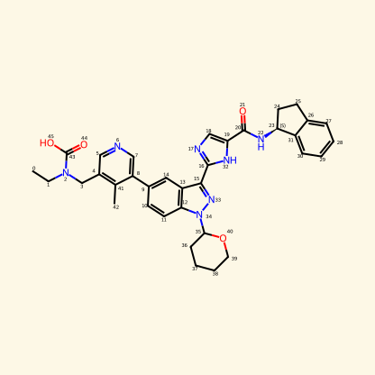 CCN(Cc1cncc(-c2ccc3c(c2)c(-c2ncc(C(=O)N[C@H]4CCc5ccccc54)[nH]2)nn3C2CCCCO2)c1C)C(=O)O